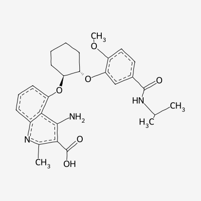 COc1ccc(C(=O)NC(C)C)cc1O[C@H]1CCCC[C@@H]1Oc1cccc2nc(C)c(C(=O)O)c(N)c12